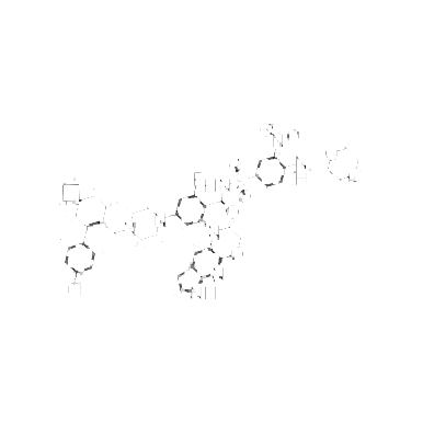 O=C(NS(=O)(=O)c1ccc(NC[C@H]2COCCO2)c([N+](=O)[O-])c1)c1c(F)cc(N2CCN(CC3=C(c4ccc(Cl)cc4)CC4(CCC4)CC3)CC2)cc1N1CCOc2nc3[nH]ccc3cc21